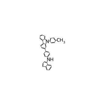 Cc1ccc(-n2c3ccccc3c3ccc(-c4ccc(Nc5cccc6ccccc56)cc4)cc32)cc1